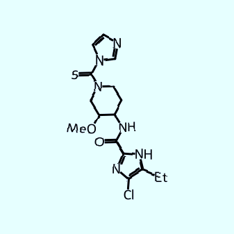 CCc1[nH]c(C(=O)NC2CCN(C(=S)n3ccnc3)CC2OC)nc1Cl